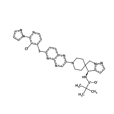 CC(C)(C)[S+]([O-])N[C@@H]1c2ccnn2CC12CCN(c1cnc3nc(Sc4ccnc(-n5cccn5)c4Cl)ccc3n1)CC2